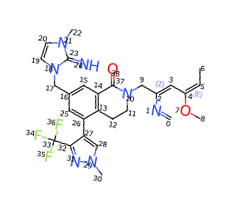 C=N/C(=C\C(=C/C)OC)CN1CCc2c(cc(Cn3ccn(C)c3=N)cc2-c2cn(C)nc2C(F)(F)F)C1=O